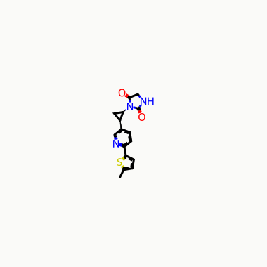 Cc1ccc(-c2ccc([C@H]3C[C@@H]3N3C(=O)CNC3=O)cn2)s1